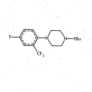 CC(C)(C)N1CCN(c2ccc(F)cc2C(F)(F)F)CC1